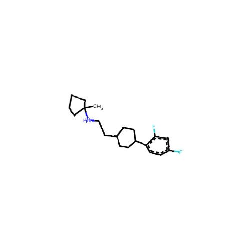 CC1(NCCC2CCC(c3ccc(F)cc3F)CC2)CCCC1